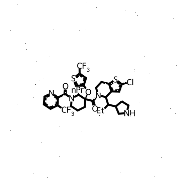 CCC[C@H]1N(C(=O)c2ncccc2C(F)(F)F)CCC[C@@]1(Oc1csc(C(F)(F)F)c1)C(=O)N1CCc2sc(Cl)cc2C1C(CC)C1CCNC1